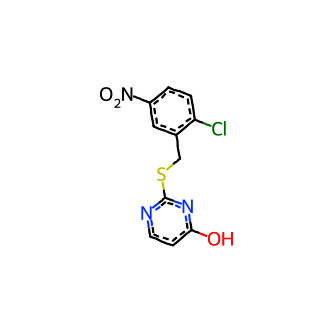 O=[N+]([O-])c1ccc(Cl)c(CSc2nccc(O)n2)c1